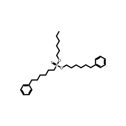 CCCCCCOP(=S)(CCCCCCc1ccccc1)OCCCCCCc1ccccc1